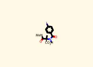 CNC(=O)[C@@](C)(C(=O)O)N(C)C(=O)c1ccc(I)cc1